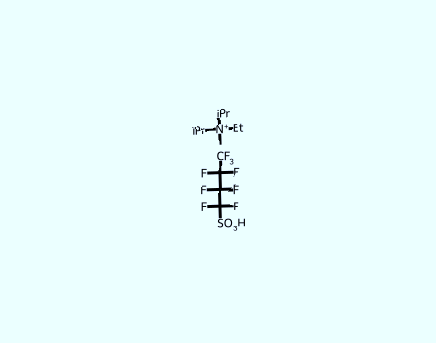 CC[N+](C)(C(C)C)C(C)C.O=S(=O)(O)C(F)(F)C(F)(F)C(F)(F)C(F)(F)F